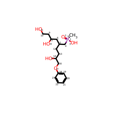 CP(=O)(O)CC([CH]C(O)CCO)CCC(O)COc1ccccc1